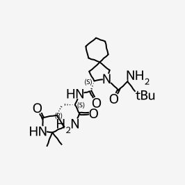 CC1(C)C[C@@H](C[C@H](NC(=O)[C@@H]2CC3(CCCCC3)CN2C(=O)C(N)C(C)(C)C)C(N)=O)C(=O)N1